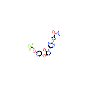 CN(C)C(=O)C1CN(c2ncc(N3CC[C@H](Oc4ccc(OCC(F)(F)F)nc4)C3=O)cn2)C1